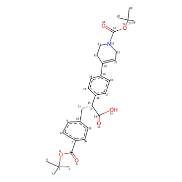 CC(C)(C)OC(=O)c1ccc(C[C@@H](C(=O)O)c2ccc(C3=CCN(C(=O)OC(C)(C)C)CC3)cc2)cc1